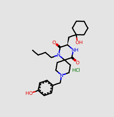 CCCCN1C(=O)[C@@H](CC2(O)CCCCC2)NC(=O)C12CCN(Cc1ccc(O)cc1)CC2.Cl